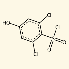 O=S(=O)(Cl)c1c(Cl)cc(O)cc1Cl